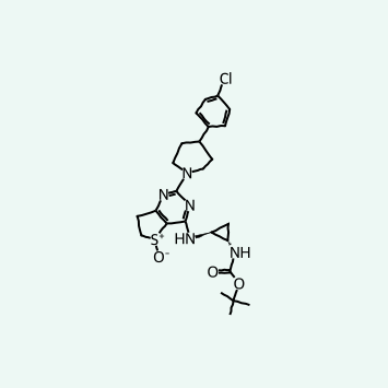 CC(C)(C)OC(=O)N[C@H]1C[C@@H]1Nc1nc(N2CCC(c3ccc(Cl)cc3)CC2)nc2c1[S+]([O-])CC2